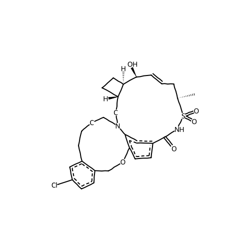 C[C@H]1C/C=C/[C@H](O)[C@@H]2CC[C@H]2CN2CCCCc3cc(Cl)ccc3COc3ccc(cc32)C(=O)NS1(=O)=O